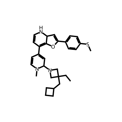 CCC1(CC2CCC2)CN(C2C=C(C3=C4OC(c5ccc(SC)cc5)=CC4NC=C3)C=CN2C)C1